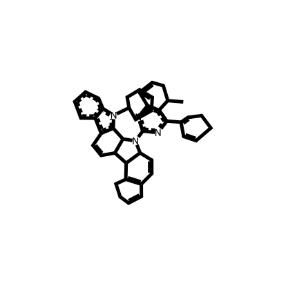 CC1CC=Cc2nc(N3C4C=CC5=C(CCC=C5)C4C4C=Cc5c(n(C6C=CC=CC6)c6ccccc56)C43)nc(C3=CCCC=C3)c21